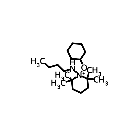 CCCCN[N+]1(OC2CCCCC2)C(C)(C)CCCC1(C)C